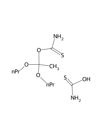 CCCOC(C)(OCCC)OC(N)=S.NC(O)=S